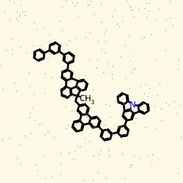 CC1(Cc2ccc3c4ccc(-c5cccc(-c6cccc(-c7cc8c9ccccc9n9c%10ccccc%10c(c7)c89)c6)c5)cc4c4ccccc4c3c2)c2cccc3c4ccc(-c5cccc(-c6cccc(-c7ccccc7)c6)c5)cc4c4cccc1c4c23